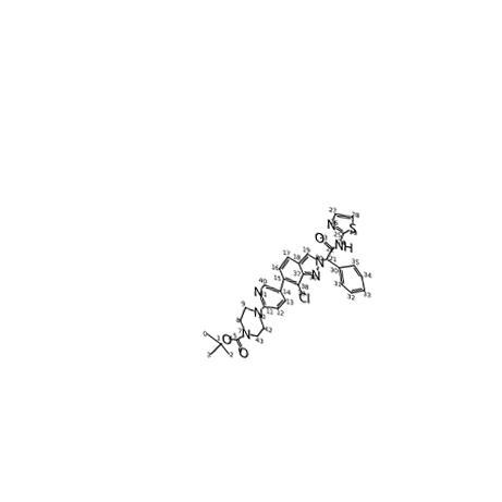 CC(C)(C)OC(=O)N1CCN(c2ccc(-c3ccc4cn(C(C(=O)Nc5nccs5)c5ccccc5)nc4c3Cl)cn2)CC1